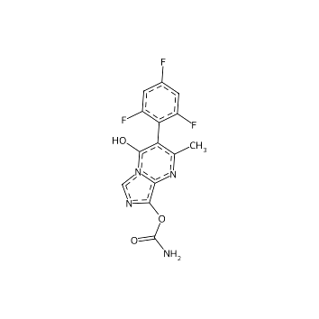 Cc1nc2c(OC(N)=O)ncn2c(O)c1-c1c(F)cc(F)cc1F